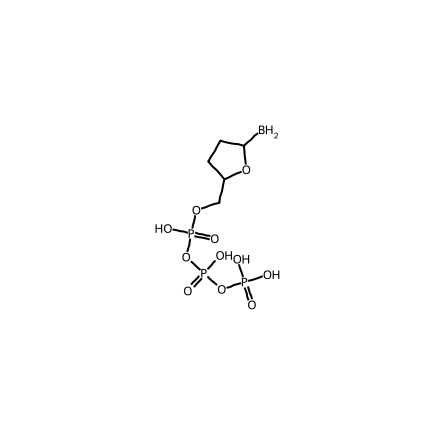 BC1CCC(COP(=O)(O)OP(=O)(O)OP(=O)(O)O)O1